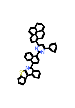 c1ccc(-c2cc(-c3ccc4ccc5cccc6ccc3c4c56)nc(-c3ccc(-c4nc5sc6ccccc6c5c5ccccc45)c4ccccc34)n2)cc1